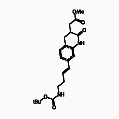 COC(=O)CC1Cc2ccc(C=CCCNC(=O)OC(C)(C)C)cc2NC1=O